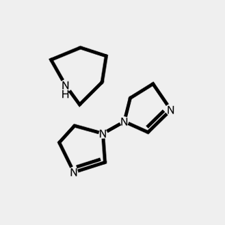 C1=NCCN1N1C=NCC1.C1CCNCC1